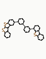 c1cc(-c2cccc(-c3cccc4c3sc3ccccc34)c2)cc(-c2ccc3sc4sc5ccccc5c4c3c2)c1